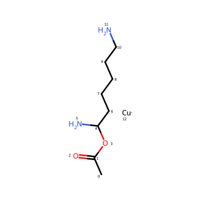 CC(=O)OC(N)CCCCCN.[Cu]